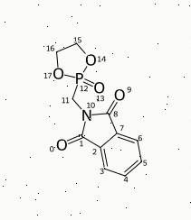 O=C1c2ccccc2C(=O)N1CP1(=O)OCCO1